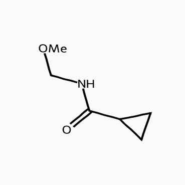 COCNC(=O)C1CC1